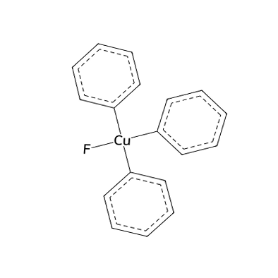 [F][Cu]([c]1ccccc1)([c]1ccccc1)[c]1ccccc1